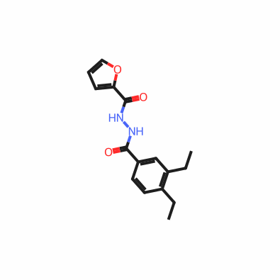 CCc1ccc(C(=O)NNC(=O)c2ccco2)cc1CC